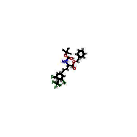 CC(C)(C)OC(=O)NC(CCc1cc(F)c(C(F)(F)F)c(F)c1)C(=O)OCc1ccccc1